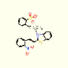 CC[n+]1c(C=Cc2ccccc2[N+](=O)[O-])sc2ccccc21.Cc1ccccc1S(=O)(=O)[O-]